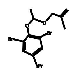 C=C(C)COC(C)Oc1c(Br)cc(CCC)cc1Br